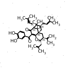 C=C(C)C[C@@H]1OC2=C(C(=O)c3ccc(O)c(O)c3)C(=O)[C@]3(CC=C(C)C)C(=O)[C@]2(C[C@H](CC=C(C)C)C3(C)C)C[C@H]1C(=C)C